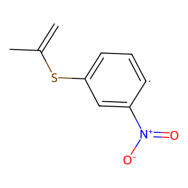 C=C(C)Sc1cc[c]c([N+](=O)[O-])c1